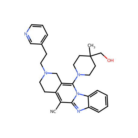 CC1(CO)CCN(c2c3c(c(C#N)c4nc5ccccc5n24)CCN(CCc2cccnc2)C3)CC1